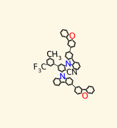 Cc1cc(-c2cc(-n3c4ccccc4c4cc(-c5ccc6oc7ccccc7c6c5)ccc43)c(C#N)c(-n3c4ccccc4c4cc(-c5ccc6oc7ccccc7c6c5)ccc43)c2)cc(C(F)(F)F)c1